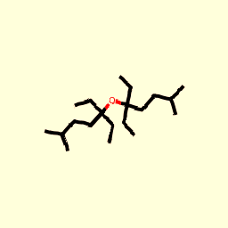 CCC(CC)(CCC(C)C)OC(CC)(CC)CCC(C)C